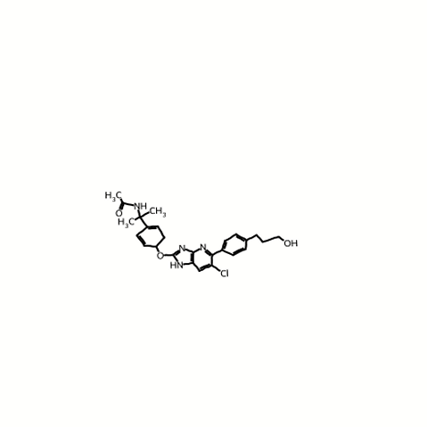 CC(=O)NC(C)(C)C1=CCC(Oc2nc3nc(-c4ccc(CCCO)cc4)c(Cl)cc3[nH]2)C=C1